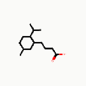 CC1CCC(C(C)C)C(CCCC(=O)O)C1